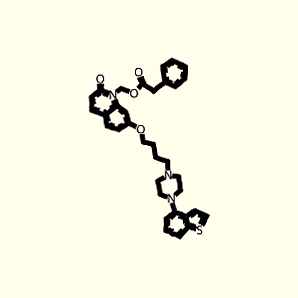 O=C(Cc1ccccc1)OCn1c(=O)ccc2ccc(OCCCCN3CCN(c4cccc5sccc45)CC3)cc21